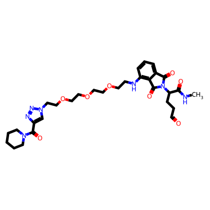 CNC(=O)C(CCC=O)N1C(=O)c2cccc(NCCOCCOCCOCCn3cc(C(=O)N4CCCCC4)nn3)c2C1=O